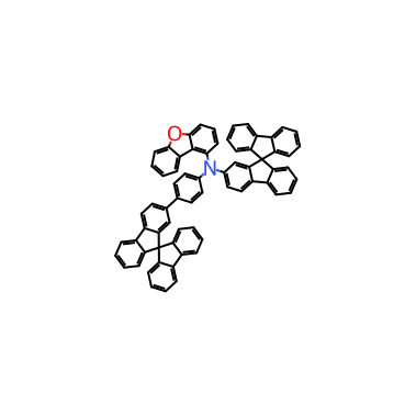 c1ccc2c(c1)-c1ccccc1C21c2ccccc2-c2ccc(-c3ccc(N(c4ccc5c(c4)C4(c6ccccc6-c6ccccc64)c4ccccc4-5)c4cccc5oc6ccccc6c45)cc3)cc21